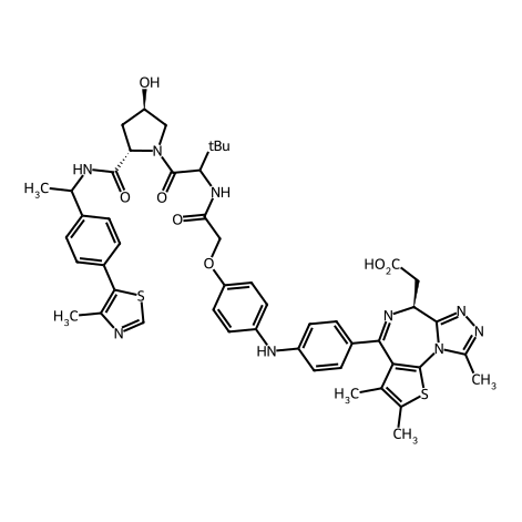 Cc1ncsc1-c1ccc(C(C)NC(=O)[C@@H]2C[C@@H](O)CN2C(=O)C(NC(=O)COc2ccc(Nc3ccc(C4=N[C@@H](CC(=O)O)c5nnc(C)n5-c5sc(C)c(C)c54)cc3)cc2)C(C)(C)C)cc1